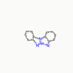 c1ccc2c(c1)n[n+]1[n-]c3ccccc3n21